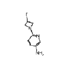 Nc1ccc(N2CC(F)C2)nc1